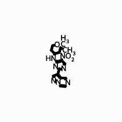 CC1(C)CC(Nc2nc(-c3cnn4ccncc34)ncc2[N+](=O)[O-])CCO1